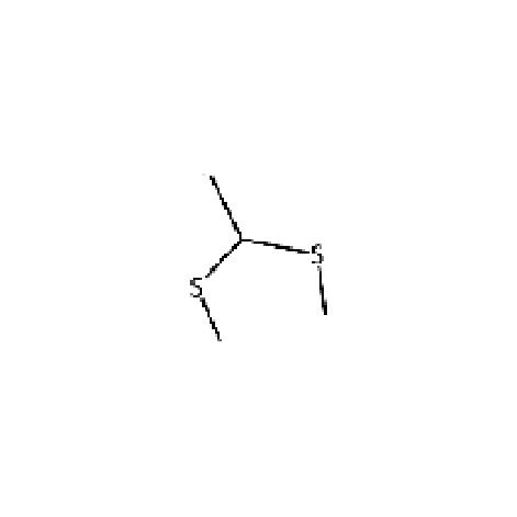 [CH2]C(SC)SC